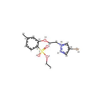 CCOS(=O)(=O)c1ccc(C)cc1OCCn1cc(Br)cn1